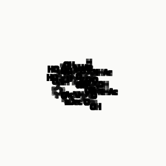 CCCCCCCCCCCOc1cccc(C(=O)NC2C(O[C@@H]3C(CO)OC(OC4C(CO)O[C@@H](O[C@@H]5C(CO)O[C@@H](OC6C(O)=C(NC(C)=O)COC6CO)C(NC(C)=O)C5O)[C@@H](NC(C)=O)[C@H]4O)C(NC(C)=O)C3O)OC(CO)[C@@H](O)C2O)c1